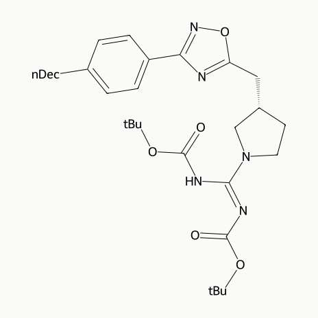 CCCCCCCCCCc1ccc(-c2noc(C[C@@H]3CCN(C(=NC(=O)OC(C)(C)C)NC(=O)OC(C)(C)C)C3)n2)cc1